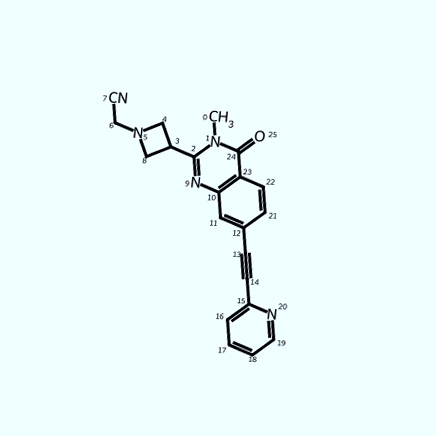 Cn1c(C2CN(CC#N)C2)nc2cc(C#Cc3ccccn3)ccc2c1=O